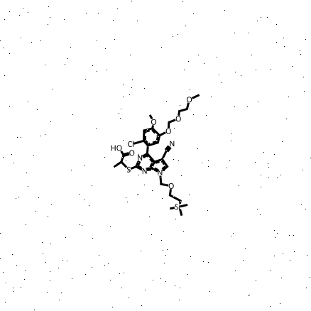 COCCOCOc1cc(-c2nc(SC(C)C(=O)O)nc3c2c(C#N)cn3COCC[Si](C)(C)C)c(Cl)cc1OC